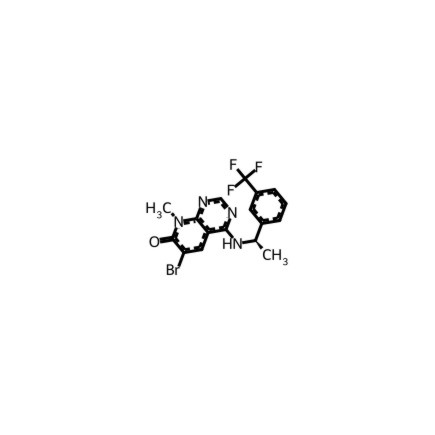 C[C@@H](Nc1ncnc2c1cc(Br)c(=O)n2C)c1cccc(C(F)(F)F)c1